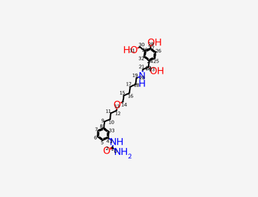 NC(=O)Nc1cccc(CCCCOCCCCCCNC[C@@H](O)c2ccc(O)c(CO)c2)c1